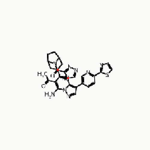 CC(=O)c1c(C2CC3CCC(C2)N3C(=O)c2nnc[nH]2)nc2c(-c3ccc(-c4nccs4)nc3)cnn2c1N